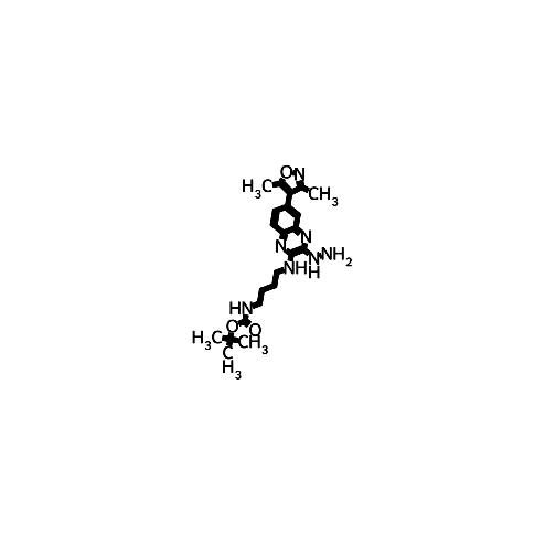 Cc1noc(C)c1-c1ccc2nc(NCCCCNC(=O)OC(C)(C)C)c(NN)nc2c1